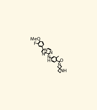 COc1ccc(-c2cnc3c(Nc4ccc(C(=O)N5CC6(CCN6)C5)c(C)c4)nccn23)cc1F